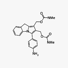 CNC(=O)OCc1c(COC(=O)NC)c(-c2ccc(N)cc2)n2c1Cc1ccccc1-2